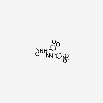 CCC(=O)NCC1=NN=C(c2ccc([N+](=O)[O-])cc2)c2cc3c(cc2C1)OCO3